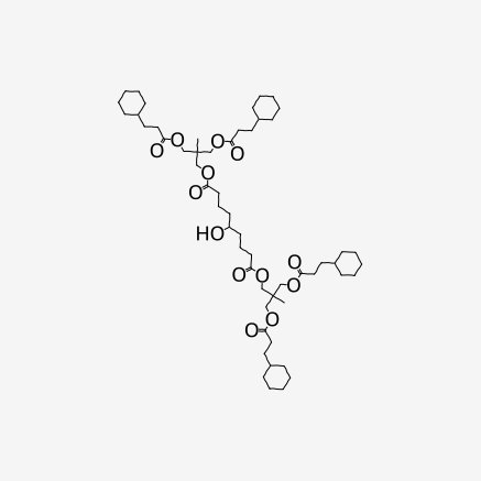 CC(COC(=O)CCCC(O)CCCC(=O)OCC(C)(COC(=O)CCC1CCCCC1)COC(=O)CCC1CCCCC1)(COC(=O)CCC1CCCCC1)COC(=O)CCC1CCCCC1